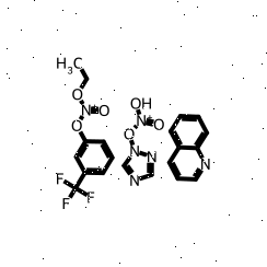 CCO[N+](=O)Oc1cccc(C(F)(F)F)c1.O=[N+](O)On1cncn1.c1ccc2ncccc2c1